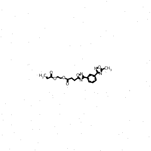 C=CC(=O)OCCOC(=O)CCc1nc(-c2cccc(-c3noc(C)n3)c2)no1